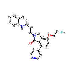 O=C1c2c(-c3ccncc3)ccc(OCCF)c2CN1CCc1ccc2ccccc2n1